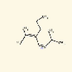 CCCC(/C=N\C(C)C)=C(C)C